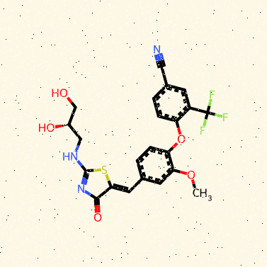 COc1cc(/C=C2\SC(NC[C@@H](O)CO)=NC2=O)ccc1Oc1ccc(C#N)cc1C(F)(F)F